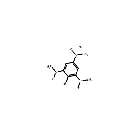 C[S+]([O-])c1cc([S+](C)[O-])c(S)c([S+](C)[O-])c1.[Zn]